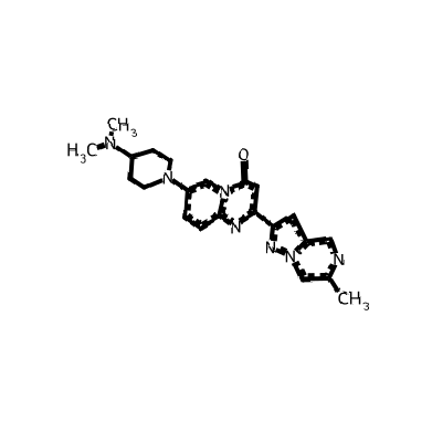 Cc1cn2nc(-c3cc(=O)n4cc(N5CCC(N(C)C)CC5)ccc4n3)cc2cn1